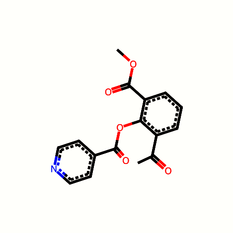 COC(=O)c1cccc(C(C)=O)c1OC(=O)c1ccncc1